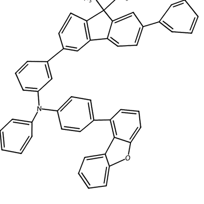 CC1(C)c2ccc(-c3cccc(N(c4ccccc4)c4ccc(-c5cccc6oc7ccccc7c56)cc4)c3)cc2-c2ccc(-c3ccccc3)cc21